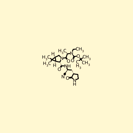 CCN(C(=O)OC(C)(C)C)[C@@H](C)C(=O)N1C[C@H]2[C@@H]([C@H]1C(=O)N[C@H](C#N)C[C@@H]1CCNC1=O)C2(C)C